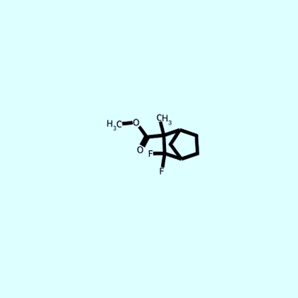 COC(=O)C1(C)C2CCC(C2)C1(F)F